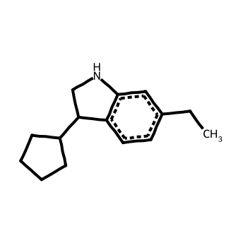 CCc1ccc2c(c1)NCC2C1CCCC1